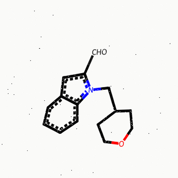 O=Cc1cc2ccccc2n1CC1CCOCC1